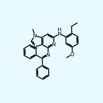 CCc1ccc(OC)cc1Nc1cc2c(ncn2C)c(N=C(c2ccccc2)c2ccccc2)n1